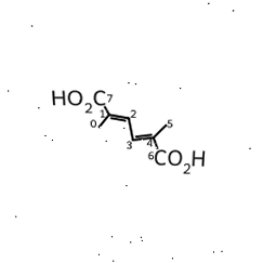 CC(=CC=C(C)C(=O)O)C(=O)O